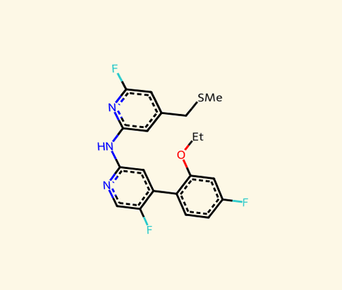 CCOc1cc(F)ccc1-c1cc(Nc2cc(CSC)cc(F)n2)ncc1F